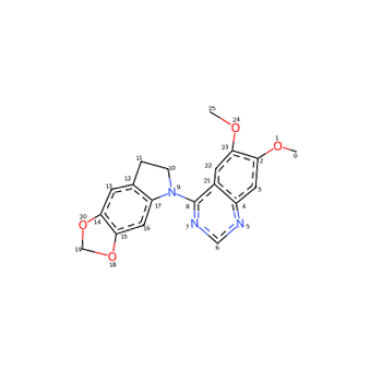 COc1cc2ncnc(N3CCc4cc5c(cc43)OCO5)c2cc1OC